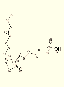 CCCOCCCC[C@H]1CCC(=O)[C@@H]1CCCCCCC(=O)O